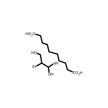 CCCC(O)C(CC)CO.O=C(O)CCCCCCCCC(=O)O